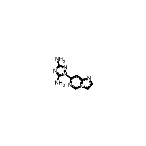 Nc1nc(N)n(-c2cc3nccn3cn2)n1